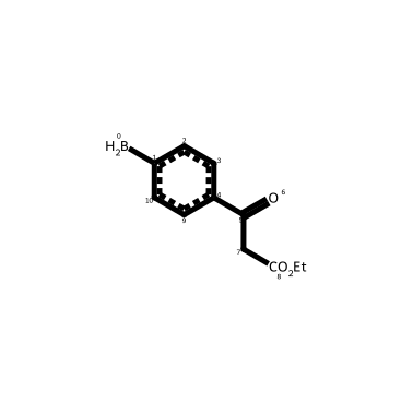 Bc1ccc(C(=O)CC(=O)OCC)cc1